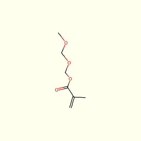 C=C(C)C(=O)OCOCOC